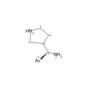 CC(=O)[C@H](N)C1CCNC1